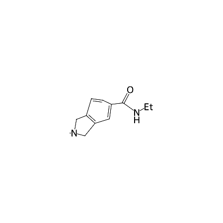 CCNC(=O)c1ccc2c(c1)C[N]C2